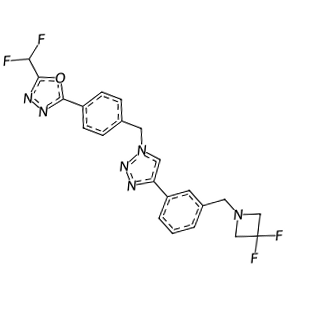 FC(F)c1nnc(-c2ccc(Cn3cc(-c4cccc(CN5CC(F)(F)C5)c4)nn3)cc2)o1